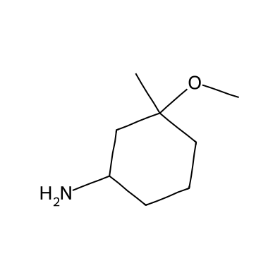 COC1(C)CCCC(N)C1